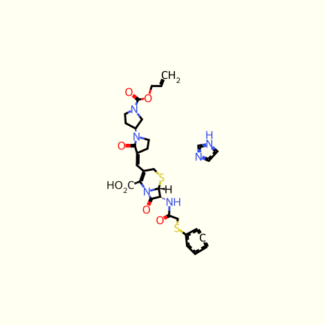 C=CCOC(=O)N1CC[C@@H](N2CCC(=CC3=C(C(=O)O)N4C(=O)[C@@H](NC(=O)CSc5ccccc5)[C@H]4SC3)C2=O)C1.c1c[nH]cn1